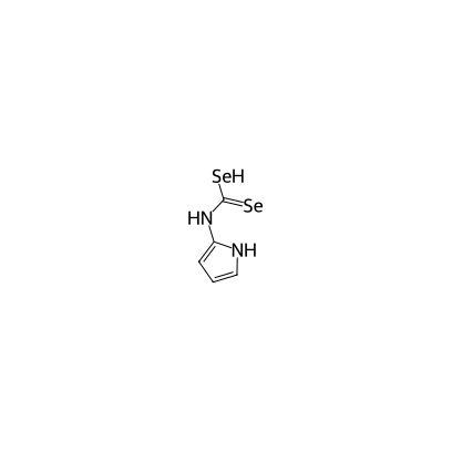 [Se]=C([SeH])Nc1ccc[nH]1